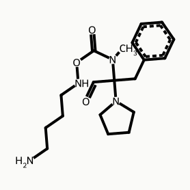 CN(C(=O)ONCCCCN)C(C=O)(Cc1ccccc1)N1CCCC1